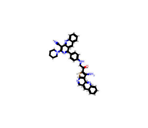 N#Cc1c(N2CCCCC2)nc(-c2ccc(NCC(=O)c3sc4ncc5cc6ccccc6nc5c4c3N)cc2)c2cc3ccccc3nc12